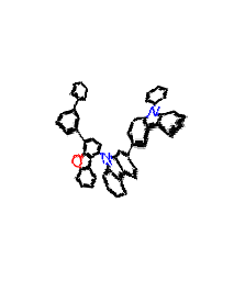 c1ccc(-c2cccc(-c3ccc(-n4c5ccccc5c5ccc(-c6ccc7c(c6)c6ccccc6n7-c6ccccc6)cc54)c4c3oc3ccccc34)c2)cc1